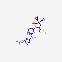 C[C@@H]1C[C@@](C#N)(C2CC2)C(=O)N1c1ccnc(Nc2cnn(C)c2)n1